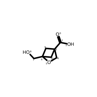 O=C(O)C12COC(CO)(C1)C2